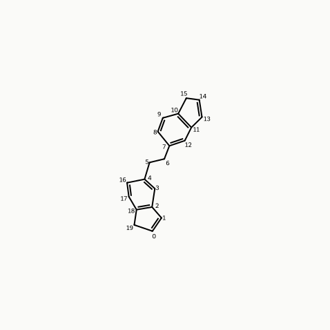 C1=Cc2cc(CCc3ccc4c(c3)C=CC4)ccc2C1